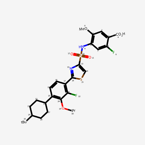 COc1cc(C(=O)O)c(F)cc1NS(=O)(=O)c1csc(-c2ccc(C3CCC(C(C)(C)C)CC3)c(OC(C)C)c2F)n1